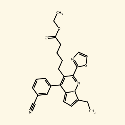 CCOC(=O)CCCCc1c(-c2nccs2)nn2c(CC)ccc2c1-c1cccc(C#N)c1